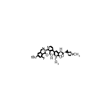 CN1CC[C@]2(C[C@H]2C(=O)Nc2cc(-c3ccnc(-n4ncc5cc(C(C)(C)C)cc(F)c5c4=O)c3CO)cn(C)c2=O)C1